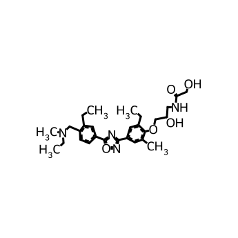 CCc1cc(-c2nc(-c3cc(C)c(OCC(O)CNC(=O)CO)c(CC)c3)no2)ccc1CN(C)CC